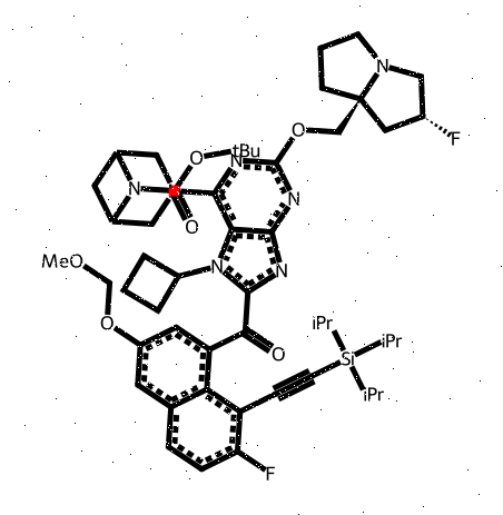 COCOc1cc(C(=O)c2nc3nc(OC[C@@]45CCCN4C[C@H](F)C5)nc(N4CC5CC(C4)N5C(=O)OC(C)(C)C)c3n2C2CCC2)c2c(C#C[Si](C(C)C)(C(C)C)C(C)C)c(F)ccc2c1